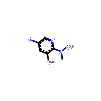 COc1cc(N)cnc1N(C)C(=O)O